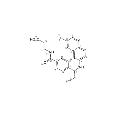 CC(C)CC(Nc1ccc2ccc(C(F)(F)F)cc2n1)c1ccc(C(=O)NCCC(=O)O)cc1